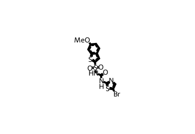 COc1ccc2cc(S(=O)(=O)NC(=O)Nc3ncc(Br)s3)sc2c1